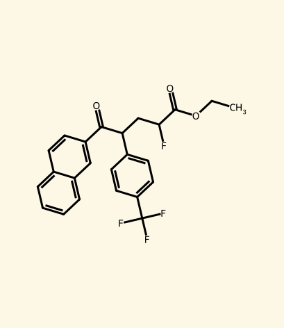 CCOC(=O)C(F)CC(C(=O)c1ccc2ccccc2c1)c1ccc(C(F)(F)F)cc1